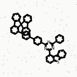 c1ccc(-c2nc(-c3ccc(-c4ccc(-c5cccc6c5C5(c7ccccc7-c7ccccc75)c5ccccc5-6)cc4)cc3)nc(-c3cccc4sc5ccccc5c34)n2)cc1